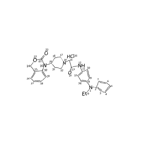 CCN(c1ccccc1)c1ccc(NC(=O)CN2CCC(N3C(=O)OCc4ccccc43)CC2)cc1.Cl